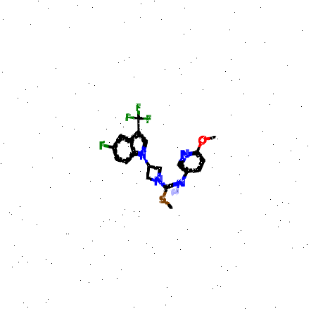 COc1ccc(/N=C(/SC)N2CC(n3cc(C(F)(F)F)c4cc(F)ccc43)C2)cn1